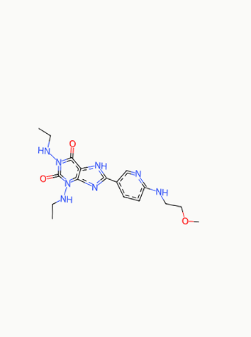 CCNn1c(=O)c2[nH]c(-c3ccc(NCCOC)nc3)nc2n(NCC)c1=O